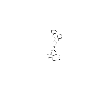 CCn1cc2c3c(cc(C(=O)N[C@@H](Cc4ccccc4)[C@H](O)CNc4ccccc4)cc31)N(C)S(=O)(=O)CC2